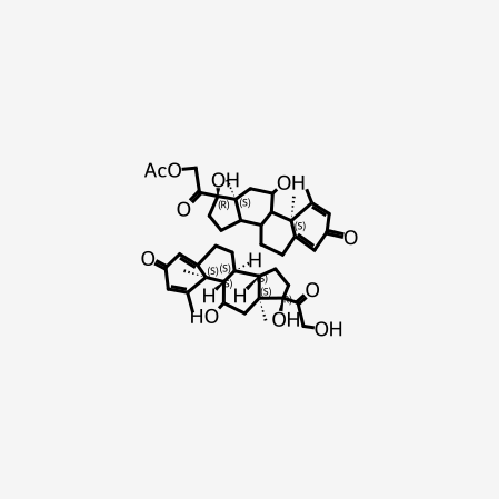 CC(=O)OCC(=O)[C@@]1(O)CCC2C3CCC4=CC(=O)C=C(C)[C@]4(C)C3C(O)C[C@@]21C.CC1=CC(=O)C=C2CC[C@@H]3[C@H](C(O)C[C@@]4(C)[C@H]3CC[C@]4(O)C(=O)CO)[C@@]12C